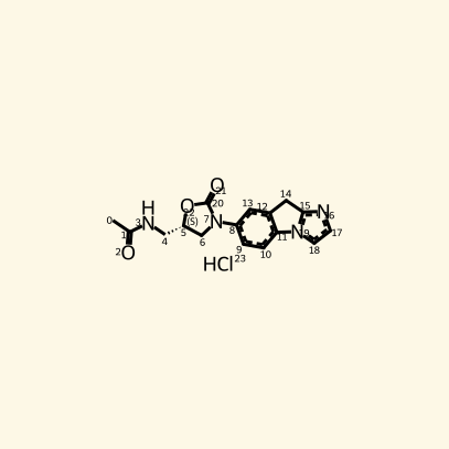 CC(=O)NC[C@H]1CN(c2ccc3c(c2)Cc2nccn2-3)C(=O)O1.Cl